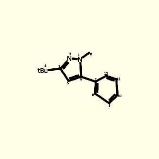 Cn1nc(C(C)(C)C)cc1-c1ccccc1